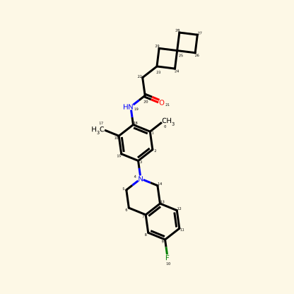 Cc1cc(N2CCc3cc(F)ccc3C2)cc(C)c1NC(=O)CC1CC2(CCC2)C1